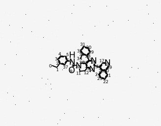 CCc1cccc(NC(=O)N2CCc3nc(-c4cncc5ccccc45)nc(-c4ccccc4C)c3C2)c1